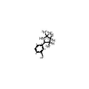 [2H]C1([2H])NC(c2cccc(F)c2)C([2H])([2H])C1([2H])[2H]